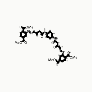 COC(=O)c1ccc(C(=O)OC)c(N=NCC(=O)CC(=O)Nc2ccc(NC(=O)CC(=O)CN=Nc3cc(C(=O)OC)ccc3C(=O)OC)cc2)c1